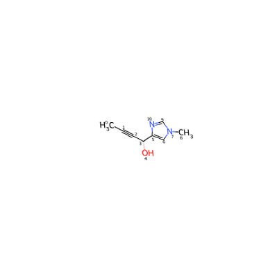 CC#C[C@@H](O)c1cn(C)cn1